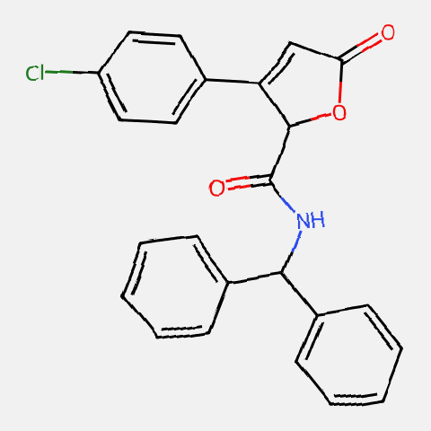 O=C1C=C(c2ccc(Cl)cc2)C(C(=O)NC(c2ccccc2)c2ccccc2)O1